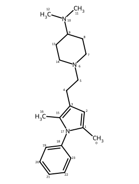 Cc1cc(CCN2CCC(N(C)C)CC2)c(C)n1-c1ccccc1